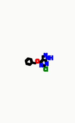 Clc1nc(OCc2ccccc2)c2cn[nH]c2n1